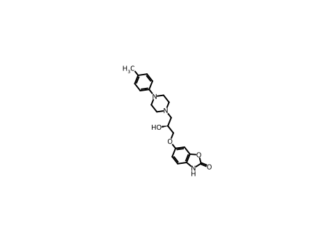 Cc1ccc(N2CCN(C[C@H](O)COc3ccc4[nH]c(=O)oc4c3)CC2)cc1